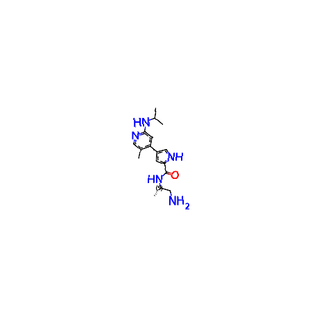 Cc1cnc(NC(C)C)cc1-c1c[nH]c(C(=O)N[C@@H](C)CN)c1